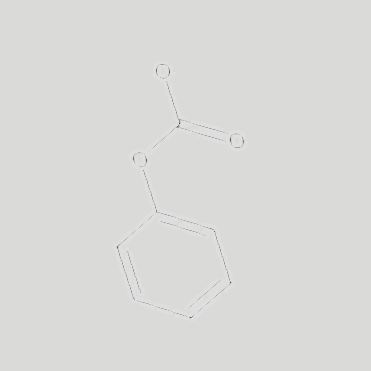 [O]C(=O)Oc1ccccc1